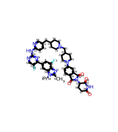 Cc1nc2c(F)cc(-c3nc(Nc4ccc(CC5CCN(CC6CCN(c7ccc8c(c7)C(=O)N(C7CCC(=O)NC7=O)C8=O)CC6)CC5)cn4)ncc3F)cc2n1C(C)C